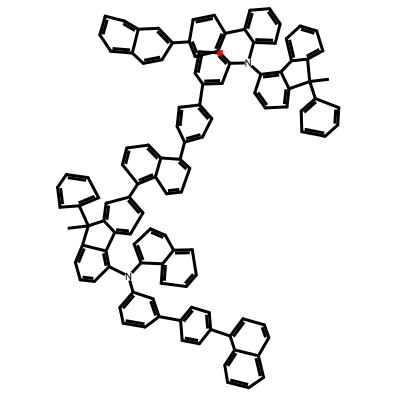 CC1(c2ccccc2)c2ccccc2-c2c(N(c3cccc(-c4ccc(-c5cccc6c(-c7ccc8c(c7)C(C)(c7ccccc7)c7cccc(N(c9cccc(-c%10ccc(-c%11cccc%12ccccc%11%12)cc%10)c9)c9cccc%10ccccc9%10)c7-8)cccc56)cc4)c3)c3ccccc3-c3ccc(-c4ccc5ccccc5c4)cc3)cccc21